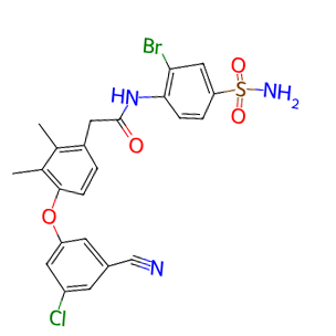 Cc1c(CC(=O)Nc2ccc(S(N)(=O)=O)cc2Br)ccc(Oc2cc(Cl)cc(C#N)c2)c1C